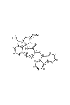 CO[C@@H]1C[C@@H](CO)[C@](NC(=S)N(CC2c3ccccc3-c3ccccc32)C(=O)O)(c2ccccc2F)C1